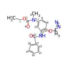 CCOC(=O)N(C)c1ccc(OC)c(NC(=O)c2ccccc2)c1.N#N